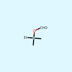 CC[Si](C)(C)O[C]=O